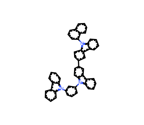 c1cc(-n2c3ccccc3c3ccccc32)cc(-n2c3ccccc3c3cc(-c4ccc5c(c4)c4ccccc4n5-c4cccc5ccccc45)ccc32)c1